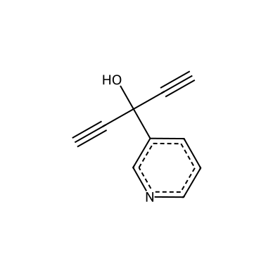 C#CC(O)(C#C)c1cccnc1